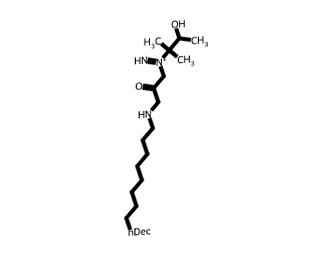 CCCCCCCCCCCCCCCCCCNCC(=O)C[N+](=N)C(C)(C)C(C)O